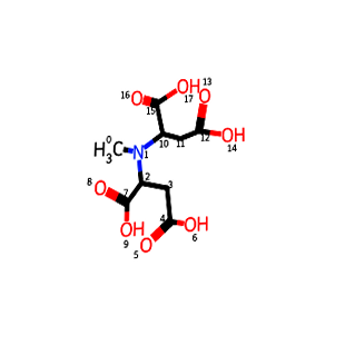 CN(C(CC(=O)O)C(=O)O)C(CC(=O)O)C(=O)O